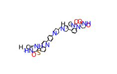 C[C@@H]1CNc2c(sc3ccc4nc(-c5ccc(N6CCC(CN7CCC(c8cccc9c8n(C)c(=O)n9C8CCC(=O)NC8=O)CC7)CC6)cc5)ccc4c23)C(=O)N1